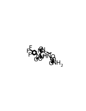 CC(CSc1nonc1-c1noc(=O)n1-c1ccc(C(F)F)c(F)c1)NC(=O)CS(N)(=O)=O